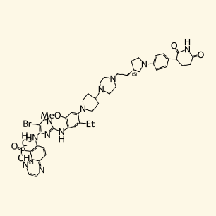 CCc1cc(Nc2ncc(Br)c(Nc3ccc4nccnc4c3P(C)(C)=O)n2)c(OC)cc1N1CCC(N2CCN(CC[C@H]3CCN(c4ccc(C5CCC(=O)NC5=O)cc4)C3)CC2)CC1